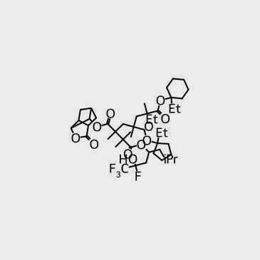 CCC1(OC(=O)C(C)(CC)CC(C)(CC(C)(C(=O)OC2C3CC4C(=O)OC2C4C3)C(C)(C)C(=O)OC(CC(C)C)CC(O)(F)C(F)(F)F)C(=O)OC2(CC)CCCC2)CCCCC1